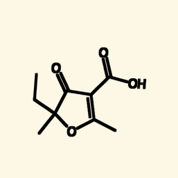 CCC1(C)OC(C)=C(C(=O)O)C1=O